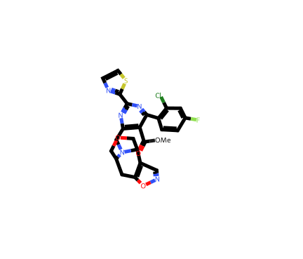 COC(=O)c1c(CN2C3COCC2c2cnoc2C3)nc(-c2nccs2)nc1-c1ccc(F)cc1Cl